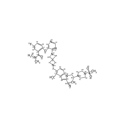 Cc1c(CN2CC3(C2)CN(c2ncncc2Oc2ccc(F)cc2C(=O)N(C)C)C3)ccc2c1cc(C#N)n2CC(C)N1CCN(S(C)(=O)=O)CC1